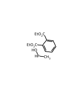 CCOC(=O)c1ccccc1C(=O)OCC.CPO